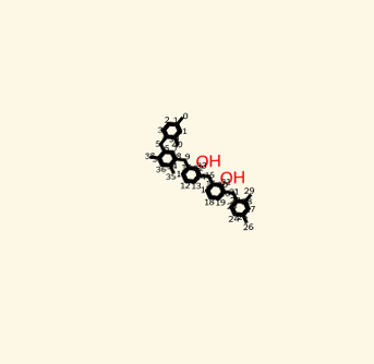 Cc1ccc(Cc2cc(Cc3cccc(Cc4cccc(Cc5ccc(C)cc5C)c4O)c3O)c(C)cc2C)c(C)c1